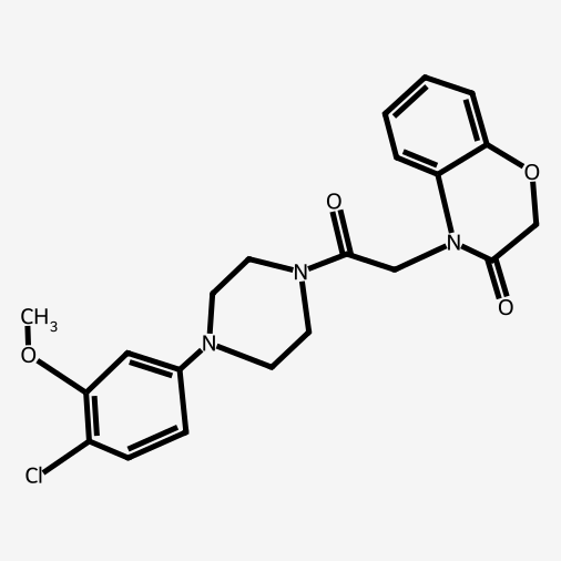 COc1cc(N2CCN(C(=O)CN3C(=O)COc4ccccc43)CC2)ccc1Cl